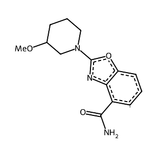 COC1CCCN(c2nc3c(C(N)=O)[c]ccc3o2)C1